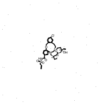 C=CCS(=O)(=O)NC(=O)c1ccc2c(c1)N(C[C@@H]1CC[C@H]1[C@@H]1C[C@](O)(C=C)CCO1)CCCCc1cc(Cl)ccc1CO2